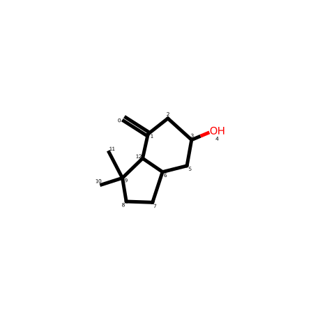 C=C1CC(O)CC2CCC(C)(C)C12